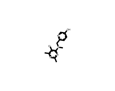 Cc1nc(C)c(Cl)c(N(C)Cc2ccc(O)cn2)n1